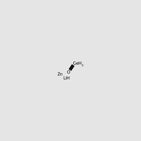 [LiH].[O]=[GeH2].[Zn]